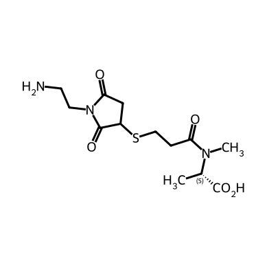 C[C@@H](C(=O)O)N(C)C(=O)CCSC1CC(=O)N(CCN)C1=O